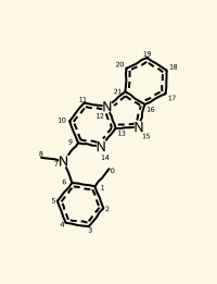 Cc1ccccc1N(C)c1ccn2c(n1)nc1ccccc12